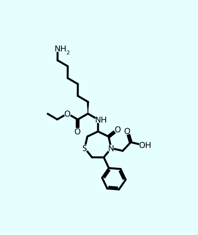 CCOC(=O)[C@@H](CCCCCCN)NC1CSCC(c2ccccc2)N(CC(=O)O)C1=O